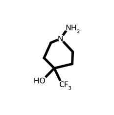 NN1CCC(O)(C(F)(F)F)CC1